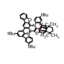 CC(C)(C)c1ccc(N2c3c(sc4cc5c(cc34)C(C)(C)CCC5(C)C)B3c4c(cc5c(oc6ccccc65)c42)-c2cc(C(C)(C)C)cc4c5cc(C(C)(C)C)ccc5n3c24)c(-c2ccccc2)c1